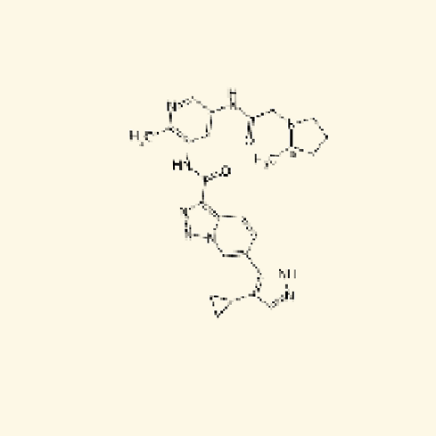 Cc1ncc(NC(=O)CN2CCC[C@@H]2C)cc1NC(=O)c1nnn2cc(-c3[nH]ncc3C3CC3)ccc12